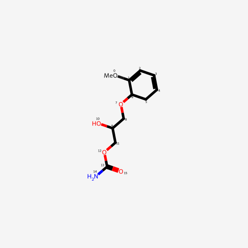 COC1=CC=CCC1OCC(O)COC(N)=O